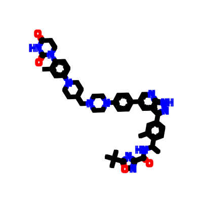 Cc1cc(-c2n[nH]c3ncc(-c4ccc(N5CCN(CC6CCN(c7ccc(N8CCC(=O)NC8=O)c(C)c7)CC6)CC5)cc4)cc23)ccc1C(C)NC(=O)c1noc(C(C)(C)C)n1